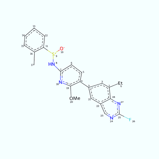 CCc1cc(-c2ccc(N[S+]([O-])c3ccccc3C)nc2OC)cc2cnc(F)nc12